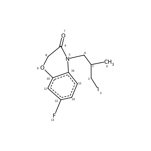 CC(CI)CN1C(=O)COc2cc(F)ccc21